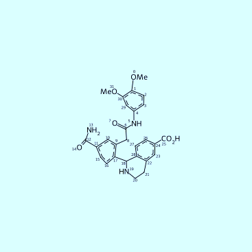 COc1ccc(NC(=O)Cc2cc(C(N)=O)ccc2C2NCCc3cc(C(=O)O)ccc32)cc1OC